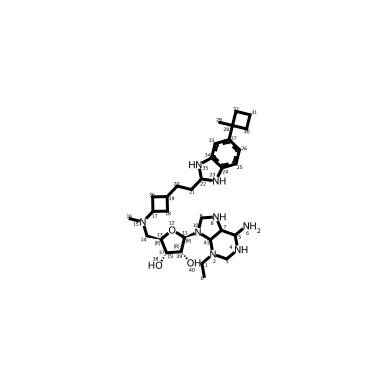 CCN1CNC(N)C2NCN([C@@H]3O[C@H](CN(C)C4CC(CCC5Nc6ccc(C7(C)CCC7)cc6N5)C4)[C@@H](O)[C@H]3O)C21